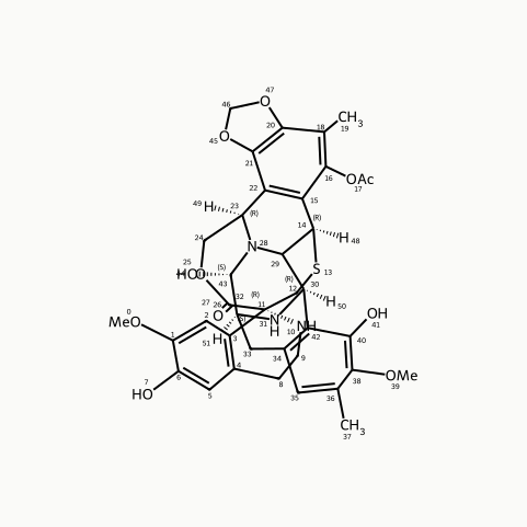 COc1cc2c(cc1O)CCN[C@]21CS[C@@H]2c3c(OC(C)=O)c(C)c4c(c3[C@H](COC1=O)N1C2[C@@H]2N[C@@H](Cc3cc(C)c(OC)c(O)c32)[C@@H]1O)OCO4